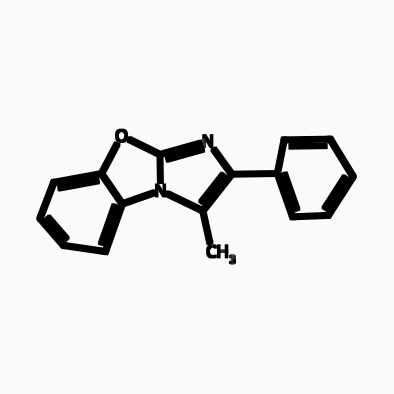 Cc1c(-c2ccccc2)nc2oc3ccccc3n12